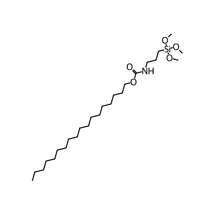 CCCCCCCCCCCCCCCCCCOC(=O)NCCC[Si](OC)(OC)OC